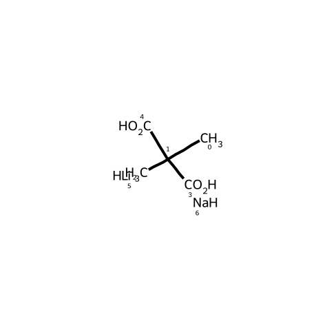 CC(C)(C(=O)O)C(=O)O.[LiH].[NaH]